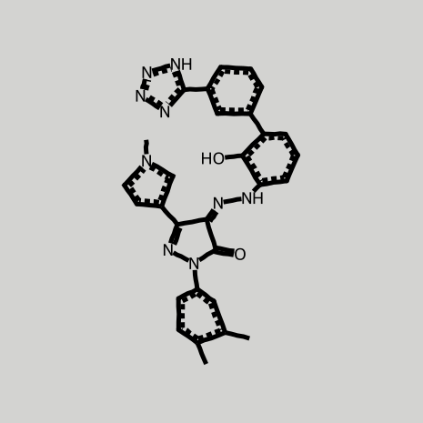 Cc1ccc(N2N=C(c3ccn(C)c3)/C(=N/Nc3cccc(-c4cccc(-c5nnn[nH]5)c4)c3O)C2=O)cc1C